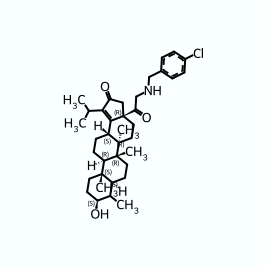 CC(C)C1=C2[C@H]3CC[C@@H]4[C@@]5(C)CC[C@H](O)C(C)[C@@H]5CC[C@@]4(C)[C@]3(C)CC[C@@]2(C(=O)CNCc2ccc(Cl)cc2)CC1=O